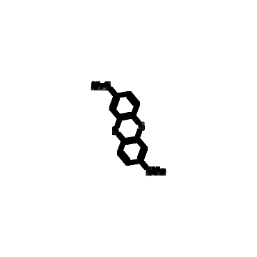 CSc1ccc2c(c1)Sc1ccc(SC)cc1S2